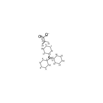 C1CC[CH]([Sn+]([CH]2CCCCC2)[CH]2CCCCC2)CC1.C=C(C)C(=O)[O-]